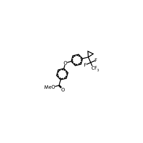 COC(=O)c1ccc(Oc2ccc(C3(C(F)(F)C(F)(F)F)CC3)cc2)cc1